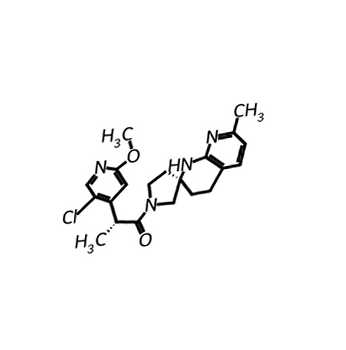 COc1cc([C@@H](C)C(=O)N2CC[C@]3(CCc4ccc(C)nc4N3)C2)c(Cl)cn1